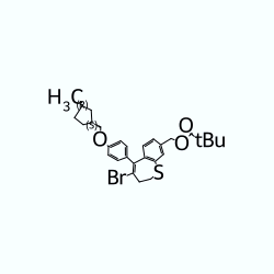 C[C@@H]1CC[C@H](COc2ccc(C3=C(Br)CCSc4cc(COC(=O)C(C)(C)C)ccc43)cc2)C1